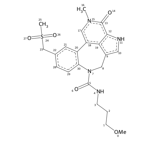 COCCCNC(=O)N1Cc2c[nH]c3c(=O)n(C)cc(c23)-c2cc(CS(C)(=O)=O)ccc21